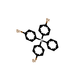 Brc1ccc([Si](c2ccccc2)(c2ccc(Br)cc2)c2ccc(Br)cc2)cc1